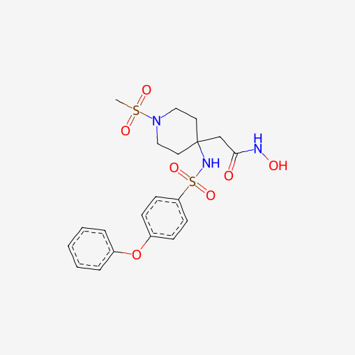 CS(=O)(=O)N1CCC(CC(=O)NO)(NS(=O)(=O)c2ccc(Oc3ccccc3)cc2)CC1